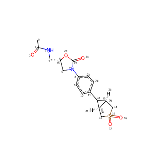 CC(=O)NC[C@H]1CN(c2ccc(C3[C@H]4CS(=O)(=O)C[C@@H]34)cc2)C(=O)O1